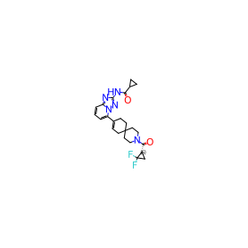 O=C(Nc1nc2cccc(C3=CCC4(CC3)CCN(C(=O)[C@@H]3CC3(F)F)CC4)n2n1)C1CC1